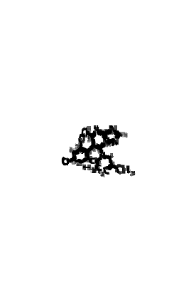 C=C(C)CN(CC)c1c(-c2c(Cl)cc(Cl)cc2Cl)c(Cl)nc2ncnn12